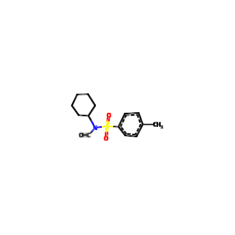 Cc1ccc(S(=O)(=O)N(C=O)C2CCCCC2)cc1